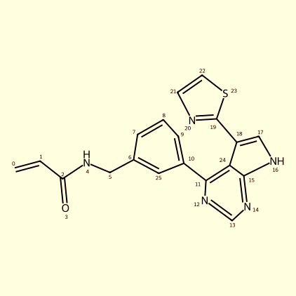 C=CC(=O)NCc1cccc(-c2ncnc3[nH]cc(-c4nccs4)c23)c1